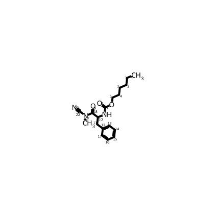 CCCCCCOC(=O)NC(Cc1ccccc1)C(=O)N(C)C#N